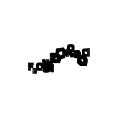 O=C(COc1ccccc1Cl)N1CCc2sc(-c3noc(C(F)(F)F)n3)cc2C1